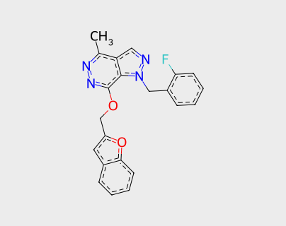 Cc1nnc(OCc2cc3ccccc3o2)c2c1cnn2Cc1ccccc1F